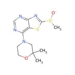 C[S+]([O-])c1nc2ncnc(N3CCOC(C)(C)C3)c2s1